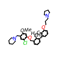 COc1cc(OCc2cccc(-c3cccc(OCCCN4CCCC4)c3C)c2C)c(Cl)cc1CN1CCCCC1